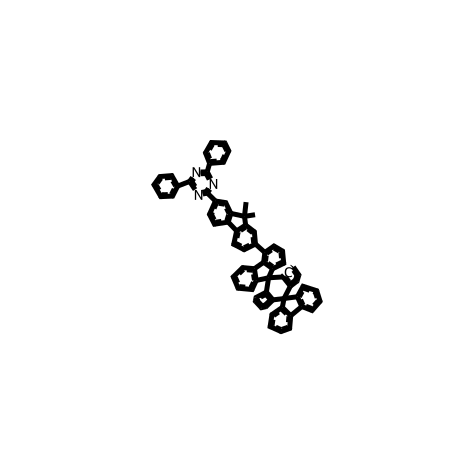 CC1(C)c2cc(-c3nc(-c4ccccc4)nc(-c4ccccc4)n3)ccc2-c2ccc(-c3cccc4c3-c3ccccc3C43c4ccccc4C4(c5ccccc5-c5ccccc54)c4ccccc43)cc21